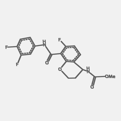 COC(=O)NC1CCOc2c1ccc(F)c2C(=O)Nc1ccc(F)c(F)c1